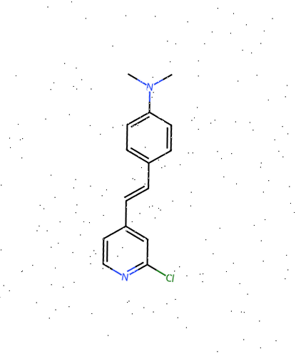 CN(C)c1ccc(/C=C/c2ccnc(Cl)c2)cc1